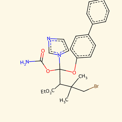 CCOC(=O)C(C(C)(C)CBr)C(OC(N)=O)(Oc1ccc(-c2ccccc2)cc1)n1ccnc1